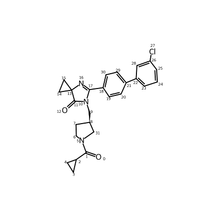 O=C(C1CC1)N1CC[C@@H](CN2C(=O)C3(CC3)N=C2c2ccc(-c3cccc(Cl)c3)cc2)C1